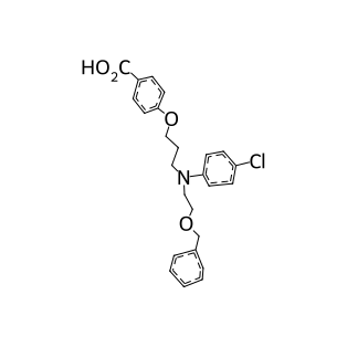 O=C(O)c1ccc(OCCCN(CCOCc2ccccc2)c2ccc(Cl)cc2)cc1